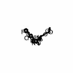 CCCS(=O)(=O)CCOCCCc1nc(-c2cc3c(Nc4ccc(OCc5cccc(F)c5)c(Cl)c4)ncnc3cc2OC)cs1